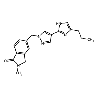 CCCc1c[nH]c(-c2cnn(Cc3ccc4c(c3)CN(C)C4=O)c2)n1